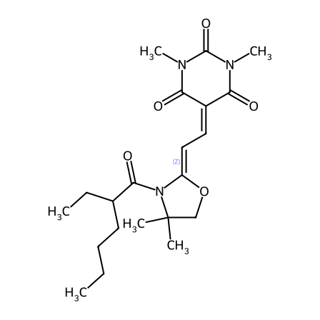 CCCCC(CC)C(=O)N1/C(=C/C=C2C(=O)N(C)C(=O)N(C)C2=O)OCC1(C)C